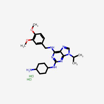 COc1ccc(CNc2nc(NC3CCC(N)CC3)nc3c2ncn3C(C)C)cc1OC.Cl.Cl